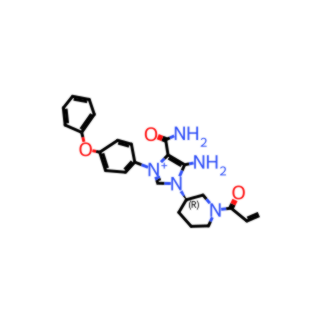 C=CC(=O)N1CCC[C@@H](n2c[n+](-c3ccc(Oc4ccccc4)cc3)c(C(N)=O)c2N)C1